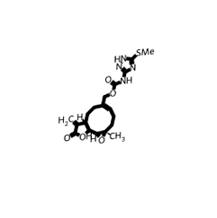 C=C1C(=O)O[C@H]2[C@H]1CC/C(COC(=O)Nc1n[nH]c(SC)n1)=C\CC[C@@]1(C)O[C@@H]21